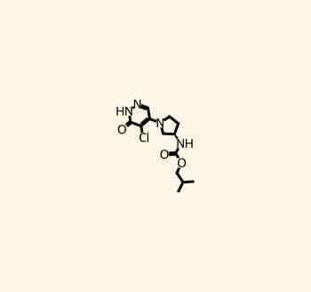 CC(C)COC(=O)N[C@@H]1CCN(c2cn[nH]c(=O)c2Cl)C1